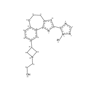 CC(C)n1ncnc1-c1nc2c(s1)CCOc1ccc(C3CN(CCO)C3)cc1-2